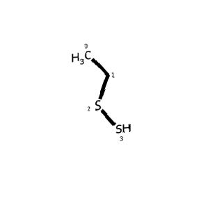 CCSS